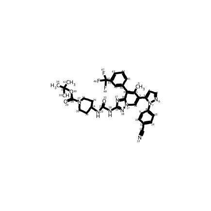 Cc1c(-c2ccnn2-c2ccc(C#N)cc2)cn2nc(NC(=O)NC3CCN(C(=O)OC(C)(C)C)CC3)nc2c1-c1cccc(C(F)(F)F)c1